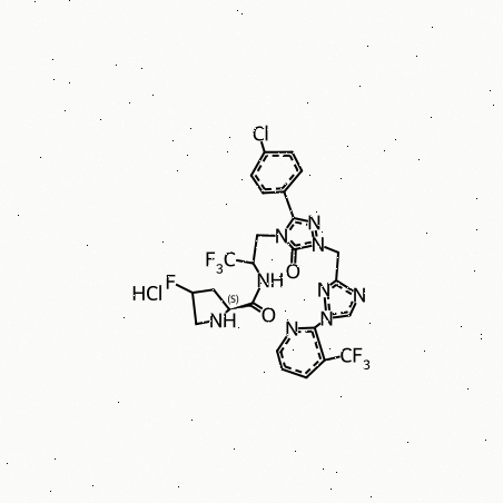 Cl.O=C(NC(Cn1c(-c2ccc(Cl)cc2)nn(Cc2ncn(-c3ncccc3C(F)(F)F)n2)c1=O)C(F)(F)F)[C@@H]1CC(F)CN1